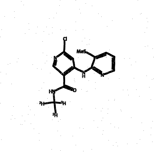 [2H]C([2H])([2H])NC(=O)c1cnc(Cl)cc1Nc1ncccc1SC